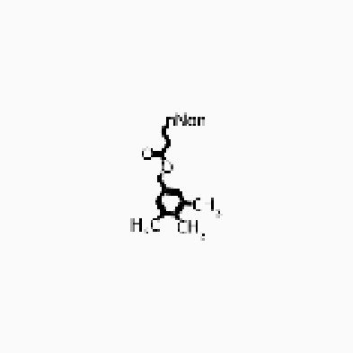 CCCCCCCCCCCC(=O)OCc1cc(C)c(C)c(C)c1